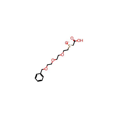 O=C(O)C[S@+]([O-])CCOCCOCCOCc1ccccc1